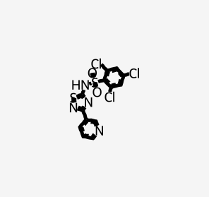 O=S(=O)(Nc1nc(-c2cccnc2)ns1)c1c(Cl)cc(Cl)cc1Cl